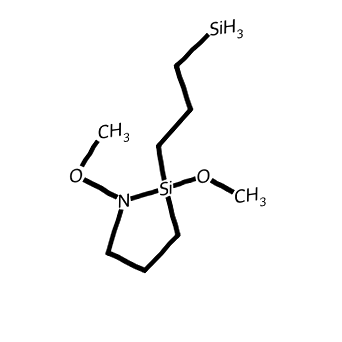 CON1CCC[Si]1(CCC[SiH3])OC